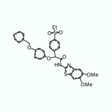 CCS(=O)(=O)c1ccc(C(Oc2ccc(OCc3ccccc3)cc2)C(=O)Nc2nc3cc(OC)c(OC)cc3s2)cc1